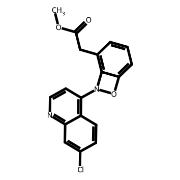 COC(=O)Cc1cccc2on(-c3ccnc4cc(Cl)ccc34)c12